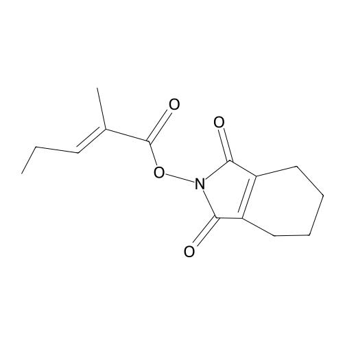 CCC=C(C)C(=O)ON1C(=O)C2=C(CCCC2)C1=O